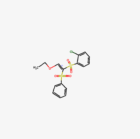 CCO/C=C(\S(=O)(=O)c1ccccc1)S(=O)(=O)c1ccccc1Cl